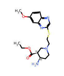 CCOC(=O)[C@H]1CN(CCSc2cnc3ccc(OC)cc3n2)CC[C@H]1N